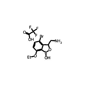 CCOc1ccc(Br)c2c1B(O)OC2CN.O=C(O)C(F)(F)F